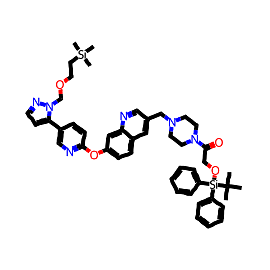 CC(C)(C)[Si](OCC(=O)N1CCN(Cc2cnc3cc(Oc4ccc(-c5ccnn5COCC[Si](C)(C)C)cn4)ccc3c2)CC1)(c1ccccc1)c1ccccc1